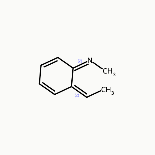 C/C=C1/C=CC=C/C1=N/C